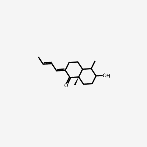 CC=CC=C1CCC2C(C)C(O)CC[C@]2(C)C1=O